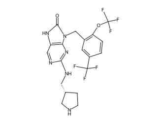 O=c1[nH]c2cnc(NC[C@@H]3CCNC3)nc2n1Cc1cc(C(F)(F)F)ccc1OC(F)(F)F